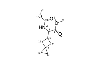 COC(=O)NC(C(=O)OC)C1CC2(CC2)C1